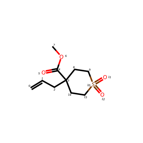 C=CCC1(C(=O)OC)CCS(=O)(=O)CC1